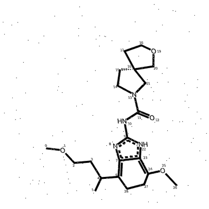 COCCC(C)C1=c2nc(NC(=O)N3CC[C@@]4(CCOC4)C3)[nH]c2=C(OC)CC1